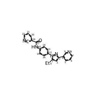 CCc1cc(-c2cccnc2)nn1-c1ccc(NC(=O)c2cccnc2)cc1